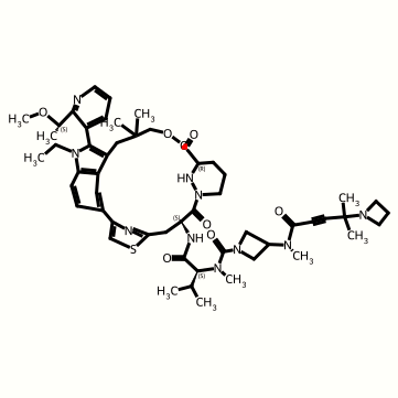 CCn1c(-c2cccnc2[C@H](C)OC)c2c3cc(ccc31)-c1csc(n1)C[C@H](NC(=O)[C@H](C(C)C)N(C)C(=O)N1CC(N(C)C(=O)C#CC(C)(C)N3CCC3)C1)C(=O)N1CCC[C@](C=O)(COCC(C)(C)C2)N1